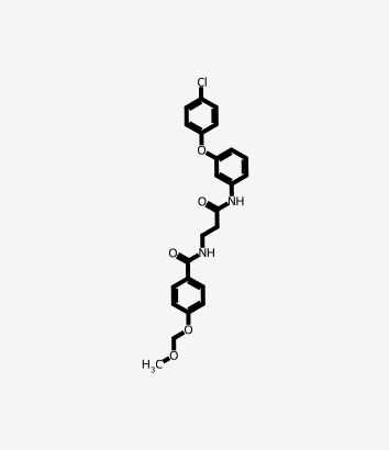 COCOc1ccc(C(=O)NCCC(=O)Nc2cccc(Oc3ccc(Cl)cc3)c2)cc1